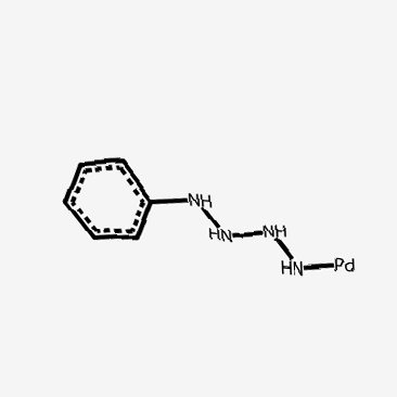 [Pd][NH]NNNc1ccccc1